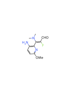 COc1ccc(N)c(C(=C(F)C=O)N(C)C)n1